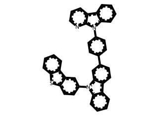 c1ccc2c(c1)sc1ccc(-n3c4ccccc4c4ccc(-c5ccc(-n6c7ccccc7c7cccnc76)cc5)cc43)cc12